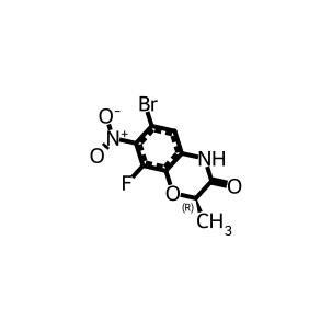 C[C@H]1Oc2c(cc(Br)c([N+](=O)[O-])c2F)NC1=O